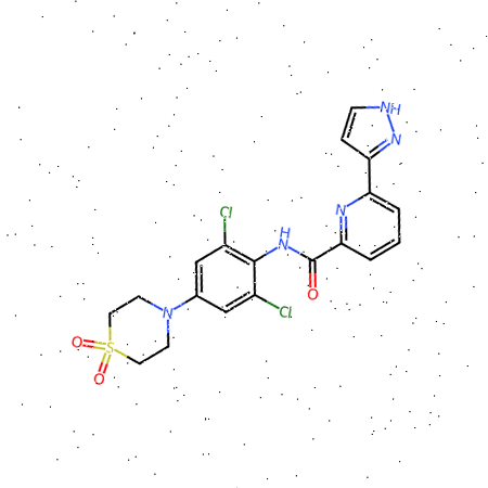 O=C(Nc1c(Cl)cc(N2CCS(=O)(=O)CC2)cc1Cl)c1cccc(-c2cc[nH]n2)n1